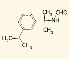 C=C(C)c1cccc(C(C)(C)NC=O)c1